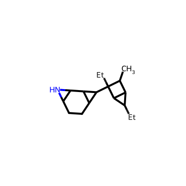 CCC1C2C(C)C(CC)(C3C4CCC5NC5C43)C12